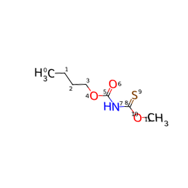 CCCCOC(=O)NC(=S)OC